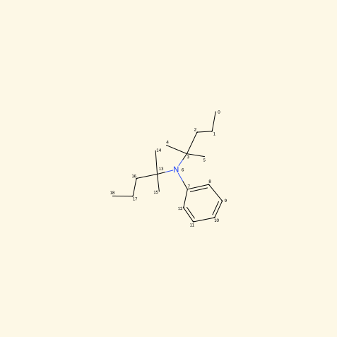 CCCC(C)(C)N(c1ccccc1)C(C)(C)CCC